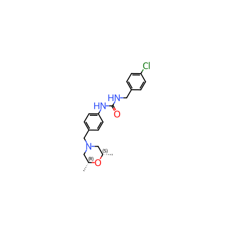 C[C@@H]1CN(Cc2ccc(NC(=O)NCc3ccc(Cl)cc3)cc2)C[C@H](C)O1